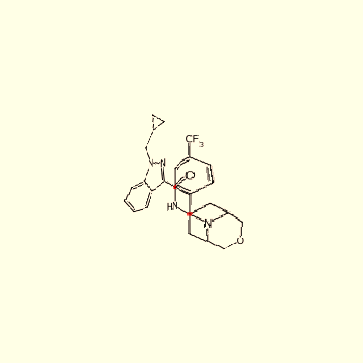 O=C(NC1CC2COCC(C1)N2Cc1ccc(C(F)(F)F)cc1)c1nn(CC2CC2)c2ccccc12